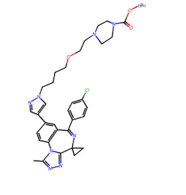 Cc1nnc2n1-c1ccc(-c3cnn(CCCCOCCN4CCN(C(=O)OC(C)(C)C)CC4)c3)cc1C(c1ccc(Cl)cc1)=NC21CC1